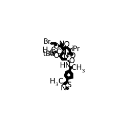 Cc1ncsc1-c1ccc([C@H](C)NC(=O)[C@@H]2CC(O[Si](C)(C)C(C)(C)C)CN2C(=O)[C@@H](c2cc(OCCBr)no2)C(C)C)cc1